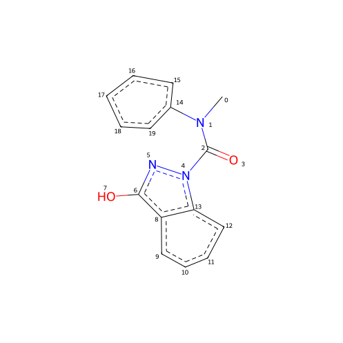 CN(C(=O)n1nc(O)c2ccccc21)c1ccccc1